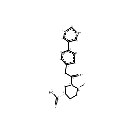 C[C@@H]1CC[C@H](C(=O)O)CN1C(=O)Cc1ccc(-c2cncnc2)cc1